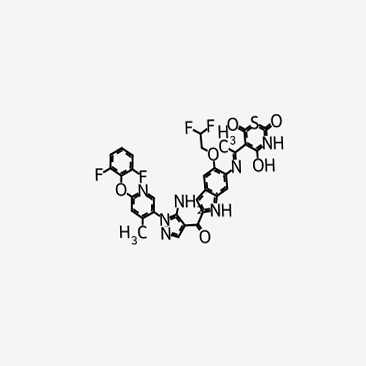 C/C(=N\c1cc2[nH]c(C(=O)c3cnn(-c4cnc(Oc5c(F)cccc5F)cc4C)c3N)cc2cc1OCC(F)F)c1c(O)[nH]c(=O)sc1=O